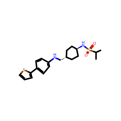 CC(C)S(=O)(=O)N[C@H]1CC[C@H](CNc2ccc(-c3cccs3)cc2)CC1